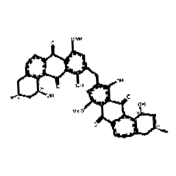 COc1cc(Cc2cc(OC)c3c(c2O)C(=O)c2c(ccc4c2[C@@H](O)C[C@@H](C)C4)C3=O)c(O)c2c1C(=O)c1ccc3c(c1C2=O)[C@@H](O)C[C@@H](C)C3